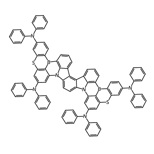 c1ccc(N(c2ccccc2)c2ccc3c(c2)Sc2cc(N(c4ccccc4)c4ccccc4)cc4c2B3c2cccc3c5c6c7cccc8c7n(c6ccc5n-4c23)-c2cc(N(c3ccccc3)c3ccccc3)cc3c2B8c2ccc(N(c4ccccc4)c4ccccc4)cc2S3)cc1